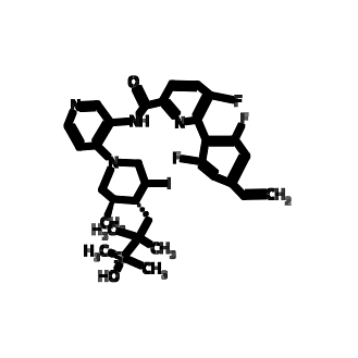 C=Cc1cc(F)c(-c2nc(C(=O)Nc3cnccc3N3CC(I)[C@H](CC(C)(C)[Si](C)(C)O)[C@@H](C)C3)ccc2F)c(F)c1